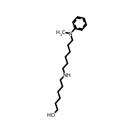 CN(CCCCCCNCCCCCCO)c1ccccc1